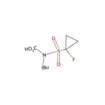 CC(C)(C)N(C(=O)O)S(=O)(=O)C1(F)CC1